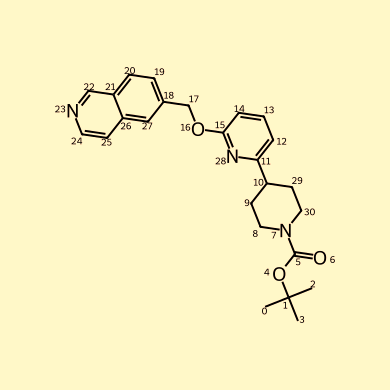 CC(C)(C)OC(=O)N1CCC(c2cccc(OCc3ccc4cnccc4c3)n2)CC1